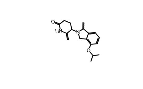 C=C1NC(=O)CCC1N1Cc2c(OC(C)C)cccc2C1=C